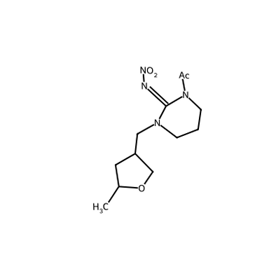 CC(=O)N1CCCN(CC2COC(C)C2)C1=N[N+](=O)[O-]